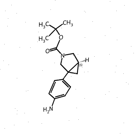 CC(C)(C)OC(=O)N1C[C@H]2CC2(c2ccc(N)cc2)C1